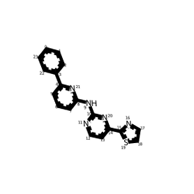 c1ccc(-c2cccc(Nc3nccc(-c4nccs4)n3)n2)cc1